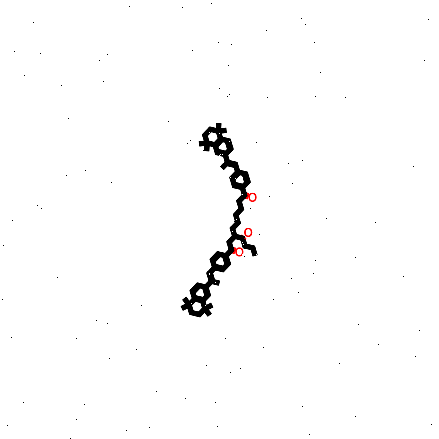 CCCC(=O)C(CCCCCC(=O)c1ccc(/C=C(\C)c2ccc3c(c2)C(C)(C)CCC3(C)C)cc1)CC(=O)c1ccc(/C=C(\C)c2ccc3c(c2)C(C)(C)CCC3(C)C)cc1